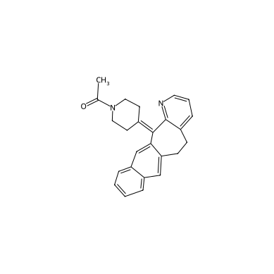 CC(=O)N1CCC(=C2c3cc4ccccc4cc3CCc3cccnc32)CC1